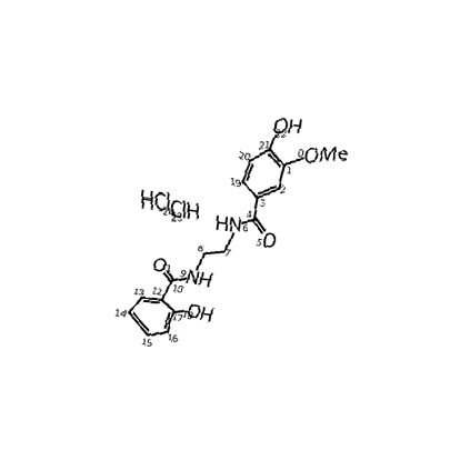 COc1cc(C(=O)NCCNC(=O)c2ccccc2O)ccc1O.Cl.Cl